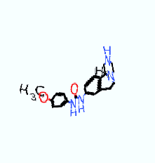 COc1ccc(NC(=O)Nc2ccc3c(c2)CCN2CCNC[C@@H]32)cc1